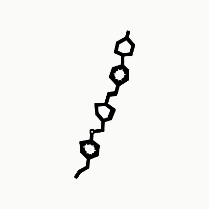 CCCc1ccc(OCC2C=CC(/C=C/c3ccc(C4CCC(C)CC4)cc3)CC2)cc1